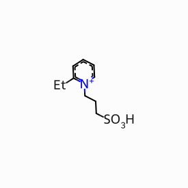 CCc1cccc[n+]1CCCS(=O)(=O)O